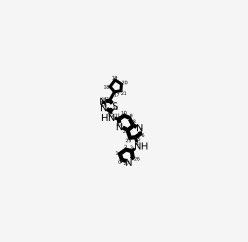 [c]1ccc(Nc2cnc3ccc(Nc4nnc(C5CCCC5)s4)nc3c2)cn1